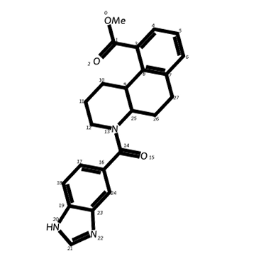 COC(=O)c1cccc2c1C1CCCN(C(=O)c3ccc4[nH]cnc4c3)C1CC2